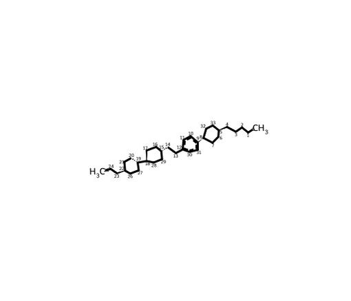 CCCCC[C@H]1CC[C@H](c2ccc(CC[C@H]3CC[C@H]([C@H]4CC[C@H](CCC)CC4)CC3)cc2)CC1